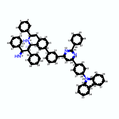 N=C(/C(=C1\NC(c2ccccc2)=Cc2ccc(-c3cccc(-c4cc(-c5ccc(-n6c7ccccc7c7ccccc76)cc5)nc(-c5ccccc5)n4)c3)cc21)c1ccccc1)c1ccccc1